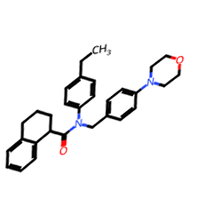 CCc1ccc(N(Cc2ccc(N3CCOCC3)cc2)C(=O)C2CCCc3ccccc32)cc1